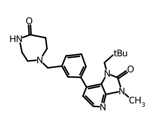 Cn1c(=O)n(CC(C)(C)C)c2c(-c3cccc(CN4CCNC(=O)CC4)c3)ccnc21